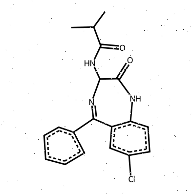 CC(C)C(=O)NC1N=C(c2ccccc2)c2cc(Cl)ccc2NC1=O